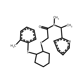 Cc1ccccc1SC1CCCCC1SCC(=O)N(C)C(C)c1ccccn1